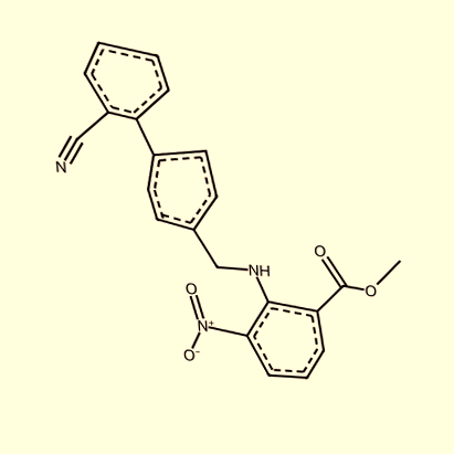 COC(=O)c1cccc([N+](=O)[O-])c1NCc1ccc(-c2ccccc2C#N)cc1